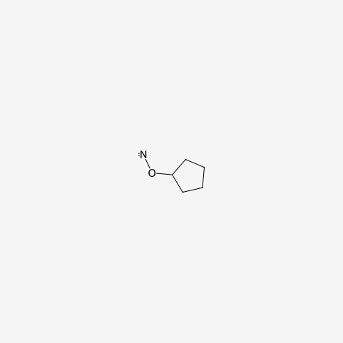 [N]OC1CCCC1